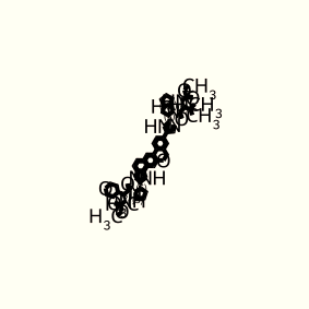 COC(=O)N[C@H](C(=O)N1[C@H](c2ncc(-c3ccc4c(c3)COc3cc5c(ccc6nc([C@@H]7CC[C@H](C)N7C(=O)[C@@H](NC(=O)OC)C7CCOCC7)[nH]c65)cc3-4)[nH]2)C[C@@H]2CCC[C@@H]21)C(C)C